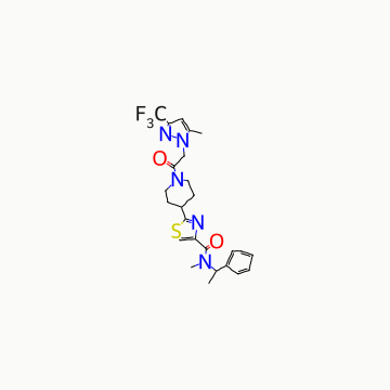 Cc1cc(C(F)(F)F)nn1CC(=O)N1CCC(c2nc(C(=O)N(C)C(C)c3ccccc3)cs2)CC1